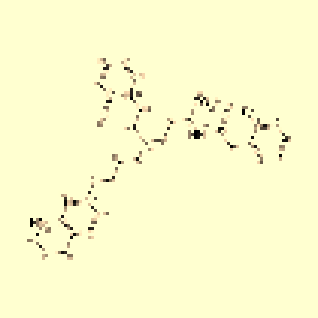 O=C(Cc1ccccc1F)NC(CCN(CCCCc1ccc2c(n1)NCCC2)CCn1ccccc1=O)C(=O)O